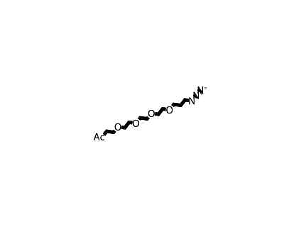 CC(=O)CCOCCOCCOCCOCCCN=[N+]=[N-]